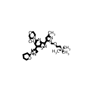 Cc1cc(-c2nsc3c(-c4cnn(C5CCCCO5)n4)cc(N4CCOC[C@H]4C)nc23)n(COCC[Si](C)(C)C)n1